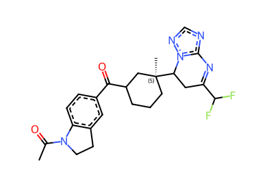 CC(=O)N1CCc2cc(C(=O)C3CCC[C@](C)(C4CC(C(F)F)=Nc5ncnn54)C3)ccc21